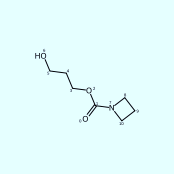 O=C(OCCCO)N1CCC1